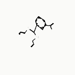 C=CCNC(NCC=C)c1cccc(C(=O)O)c1